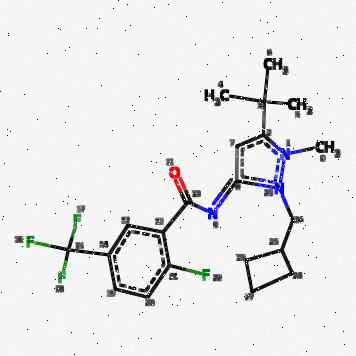 Cn1c(C(C)(C)C)cc(=NC(=O)c2cc(C(F)(F)F)ccc2F)n1CC1CCC1